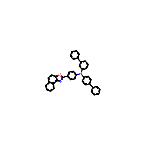 c1ccc(-c2ccc(N(c3ccc(-c4nc5c(ccc6ccccc65)o4)cc3)c3cccc(-c4ccccc4)c3)cc2)cc1